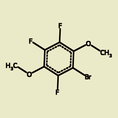 COc1c(F)c(F)c(OC)c(Br)c1F